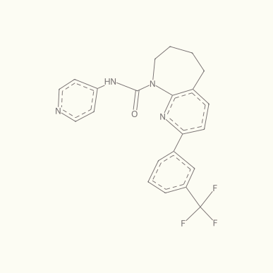 O=C(Nc1ccncc1)N1CCCCc2ccc(-c3cccc(C(F)(F)F)c3)nc21